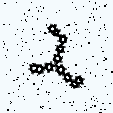 c1cc(-c2ccc(-c3ccc(N(c4ccc(-c5ccc(-c6cccc7ccccc67)cc5)cc4)c4ccc(-c5ccc6ccccc6c5)cc4)cc3)cc2)cc(-c2cc3ccccc3o2)c1